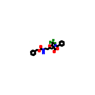 O=C(NCCCCC1(C(=O)C(F)(F)F)N=C(c2ccccc2)OC1=O)OCc1ccccc1